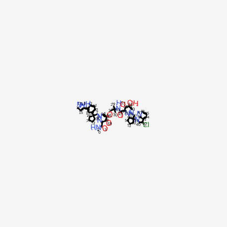 CNC(=O)c1nn(CC2(c3cccc(-c4ccn[nH]4)c3)CCCC2)cc(OCC(C)(C)NC(=O)c2nn(CC3(n4cc(Cl)c5cccnc54)CCCC3)cc(O)c2=O)c1=O